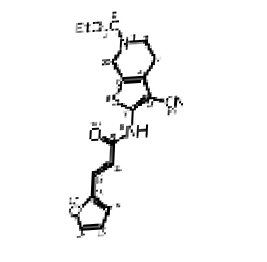 CCOC(=O)N1CCc2c(sc(NC(=O)C=Cc3ccco3)c2C#N)C1